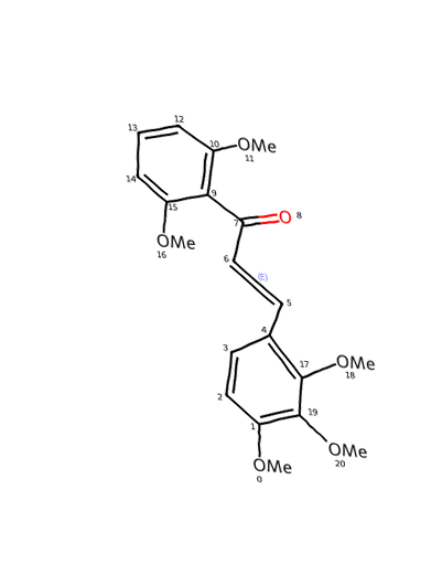 COc1ccc(/C=C/C(=O)c2c(OC)cccc2OC)c(OC)c1OC